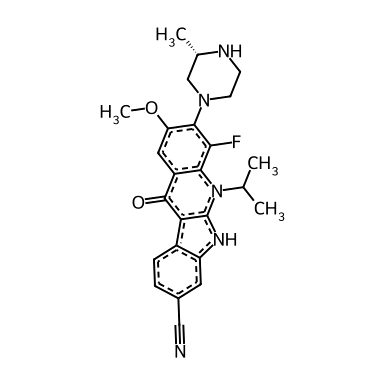 COc1cc2c(=O)c3c4ccc(C#N)cc4[nH]c3n(C(C)C)c2c(F)c1N1CCN[C@@H](C)C1